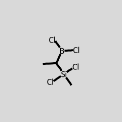 CC(B(Cl)Cl)[Si](C)(Cl)Cl